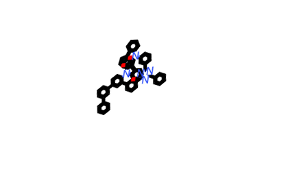 c1ccc(-c2cccc(-c3ccc(-n4c5ccccc5c5ccccc54)c(-c4cccc(-c5nc(-c6ccccc6)nc(-c6cccc(-n7c8ccccc8c8ccccc87)c6)n5)c4)c3)c2)cc1